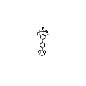 CC1COC(c2ccc(-c3cc(F)c(C(F)(F)Br)c(F)c3)cc2)OC1